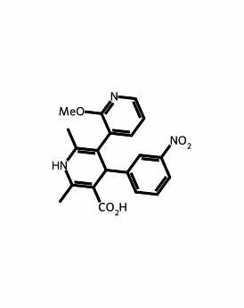 COc1ncccc1C1=C(C)NC(C)=C(C(=O)O)C1c1cccc([N+](=O)[O-])c1